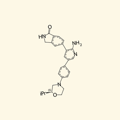 CC(C)[C@H]1CN(c2ccc(-c3cnc(N)c(-c4ccc5c(c4)CNC5=O)c3)cc2)CCO1